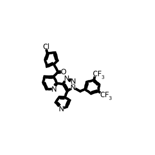 O=C(c1ccc(Cl)cc1)c1cccnc1-c1nnn(Cc2cc(C(F)(F)F)cc(C(F)(F)F)c2)c1-c1ccncc1